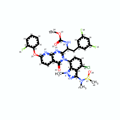 CN(c1nn(C)c2c(-n3c(C(Cc4cc(F)cc(F)c4)NC(=O)OC(C)(C)C)nc4nc(Oc5ccccc5F)ccc4c3=O)ccc(Cl)c12)[S+](C)[O-]